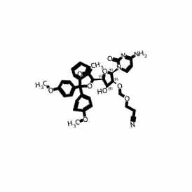 COc1ccc(C(OC(C(C)=O)[C@H]2O[C@@H](n3ccc(N)nc3=O)[C@H](OCOCCC#N)[C@@H]2O)(c2ccccc2)c2ccc(OC)cc2)cc1